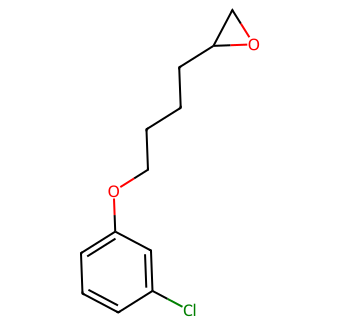 Clc1cccc(OCCCCC2CO2)c1